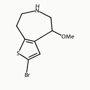 COC1CNCCc2sc(Br)cc21